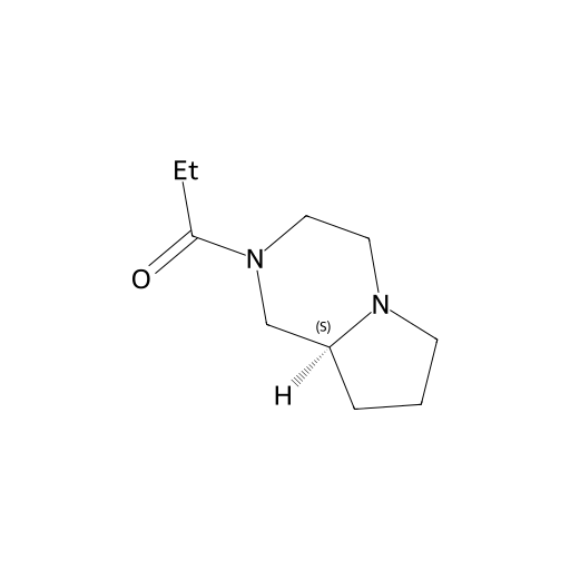 CCC(=O)N1CCN2CCC[C@H]2C1